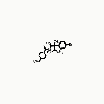 CC(C)C(C)(C(=N)NC(=O)N1CCC(CN)CC1)c1ccc(Br)cc1